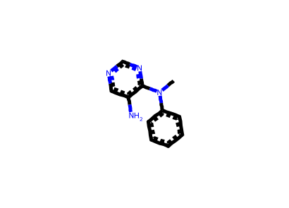 CN(c1ccccc1)c1ncncc1N